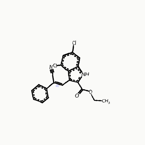 CCOC(=O)c1[nH]c2cc(Cl)cc(Cl)c2c1/C=C(\C#N)c1ccccc1